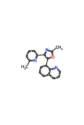 Cc1cccc(-c2nc(C)oc2-c2cccc3cccnc23)n1